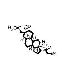 COC[C@@]1(O)CC[C@@]2(F)[C@H](CC[C@H]3[C@@H]4CC[C@H](C(=O)CBr)[C@@]4(C)CC[C@@H]32)C1